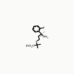 CCOC(=O)C(C)(C)SCC[C@](C)(N)c1ccccc1F